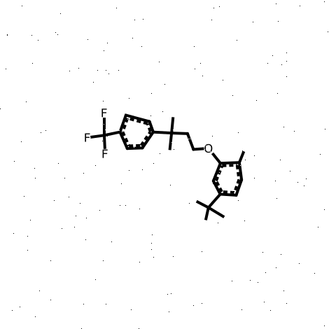 Cc1ccc(C(C)(C)C)cc1OCCC(C)(C)c1ccc(C(F)(F)F)cc1